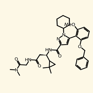 COc1cccc(OCc2ccccc2)c1-c1cc(C(=O)N[C@H](CC(=O)NCC(=O)N(C)C)C2CC2(C)C)nn1C1CCCCC1